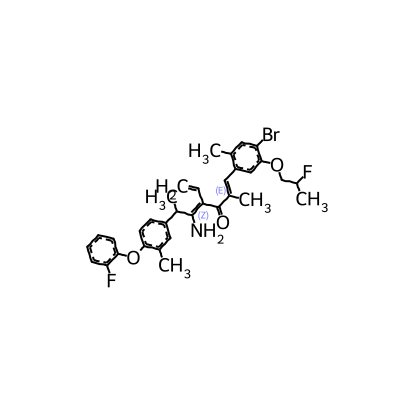 C=C/C(C(=O)/C(C)=C/c1cc(OCC(C)F)c(Br)cc1C)=C(/N)C(C)c1ccc(Oc2ccccc2F)c(C)c1